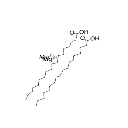 CCCCCCCCCCCCCCCCCC(=O)O.CCCCCCCCCCCCCCCCCC(=O)O.[Mg+2].[Mg+2]